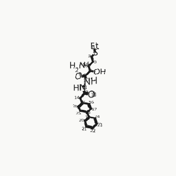 CCSCC[C@@H](N)C(O)C(=O)NNC(=O)Cc1ccc(-c2ccccc2)cc1